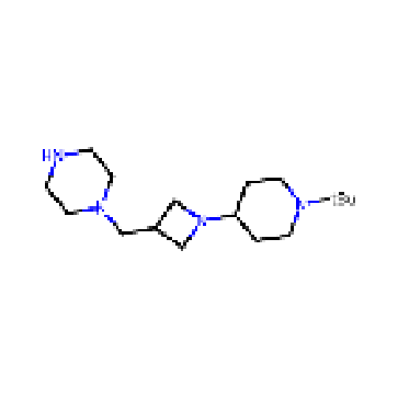 CC(C)(C)N1CCC(N2CC(CN3CCNCC3)C2)CC1